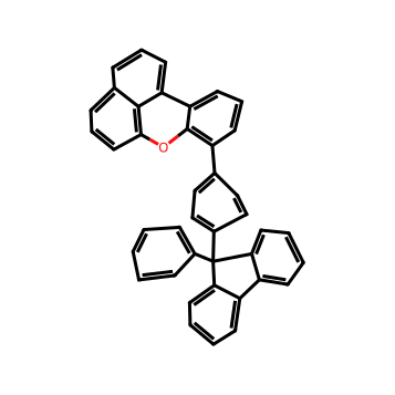 c1ccc(C2(c3ccc(-c4cccc5c4Oc4cccc6cccc-5c46)cc3)c3ccccc3-c3ccccc32)cc1